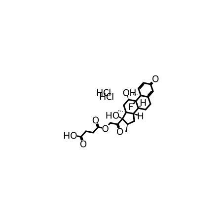 C[C@@H]1C[C@H]2[C@@H]3CCC4=CC(=O)C=C[C@]4(C)[C@@]3(F)[C@@H](O)C[C@]2(C)[C@@]1(O)C(=O)COC(=O)CCC(=O)O.Cl.Cl